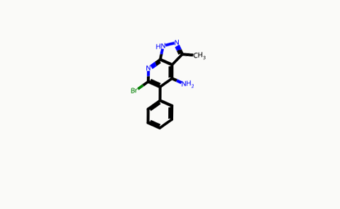 Cc1n[nH]c2nc(Br)c(-c3ccccc3)c(N)c12